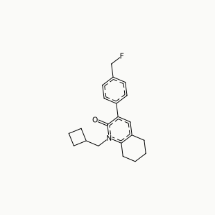 O=c1c(-c2ccc(CF)cc2)cc2c(n1CC1CCC1)CCCC2